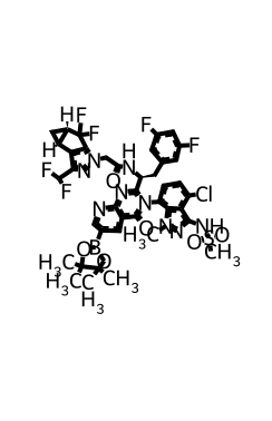 Cn1nc(NS(C)(=O)=O)c2c(Cl)ccc(-n3c([C@H](Cc4cc(F)cc(F)c4)NC(=O)Cn4nc(C(F)F)c5c4C(F)(F)[C@@H]4C[C@H]54)nc4ncc(B5OC(C)(C)C(C)(C)O5)cc4c3=O)c21